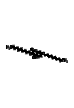 CCCCCCCCCCOc1ccc2c(O)c(OCCCCCCCCCC)c(=O)oc2c1